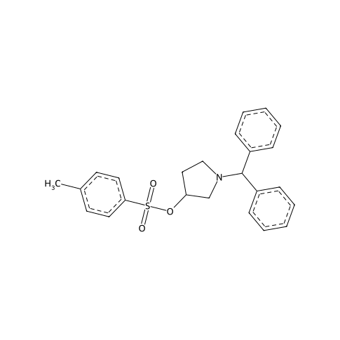 Cc1ccc(S(=O)(=O)OC2CCN(C(c3ccccc3)c3ccccc3)C2)cc1